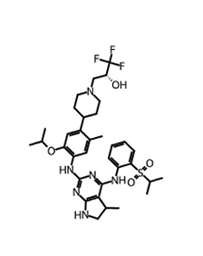 Cc1cc(Nc2nc3c(c(Nc4ccccc4S(=O)(=O)C(C)C)n2)C(C)CN3)c(OC(C)C)cc1C1CCN(C[C@@H](O)C(F)(F)F)CC1